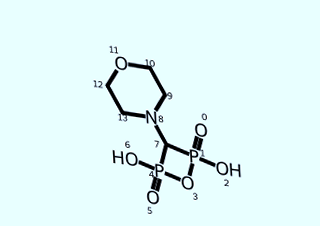 O=P1(O)OP(=O)(O)C1N1CCOCC1